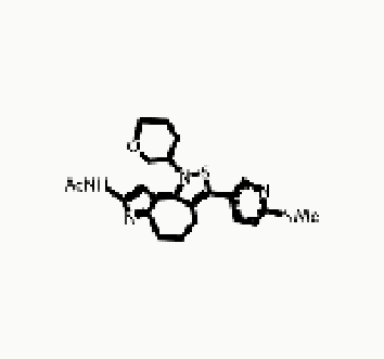 CNc1ccc(C2=C3CCCC4=NC(NC(C)=O)=CC4=C3N(C3CCCOC3)S2)cn1